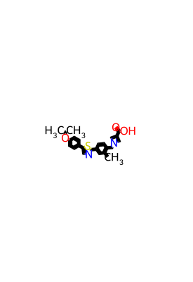 Cc1cc(-c2ncc(-c3ccc(OC(C)C)cc3)s2)ccc1CN1CC(C(=O)O)C1